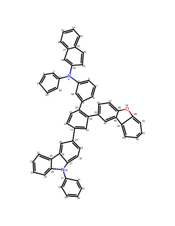 c1ccc(N(c2cccc(-c3ccc(-c4ccc5c(c4)c4ccccc4n5-c4ccccc4)cc3-c3ccc4oc5ccccc5c4c3)c2)c2ccc3ccccc3c2)cc1